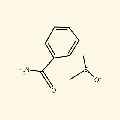 C[S+](C)[O-].NC(=O)c1ccccc1